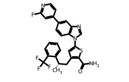 C[C@@H](Cc1cc(-n2cnc3cc(-c4ccnc(F)c4)ccc32)sc1C(N)=O)c1ccccc1C(F)(F)F